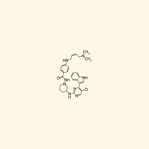 CN(C)C/C=C\CNc1ccc(C(=O)NN2CCCC(Nc3ncc(Cl)c(-c4c[nH]c5ccccc45)n3)C2)cc1